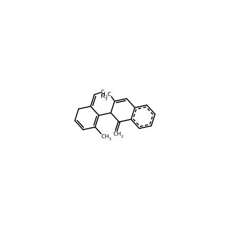 C=C1c2ccccc2C=C(C)C1C1=C(C)C=CC/C1=C/C